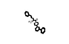 NC(CC=Cc1ccccc1)C(=O)N1CCC(c2cccc(-c3ccccc3)c2)CC1